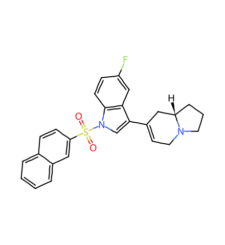 O=S(=O)(c1ccc2ccccc2c1)n1cc(C2=CCN3CCC[C@H]3C2)c2cc(F)ccc21